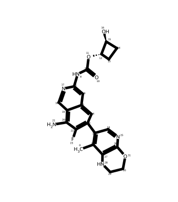 Cc1c(-c2cc3cc(NC(=O)O[C@H]4CC[C@@H]4O)ncc3c(N)c2F)cnc2c1NCCO2